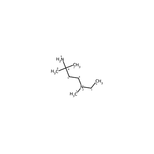 CCN(C)CCC(C)(C)N